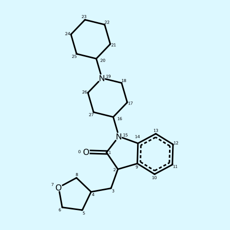 O=C1C(CC2CCOC2)c2ccccc2N1C1CCN(C2CCCCC2)CC1